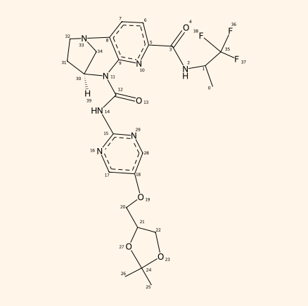 CC(NC(=O)c1ccc2c(n1)N(C(=O)Nc1ncc(OCC3COC(C)(C)O3)cn1)[C@H]1CCN2C1)C(F)(F)F